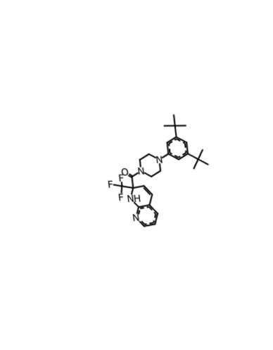 CC(C)(C)c1cc(N2CCN(C(=O)C3(C(F)(F)F)C=Cc4cccnc4N3)CC2)cc(C(C)(C)C)c1